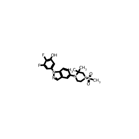 CC1(C)CN(S(C)(=O)=O)CCN1c1ccc2c(cnn2-c2cc(O)c(F)c(F)c2)c1